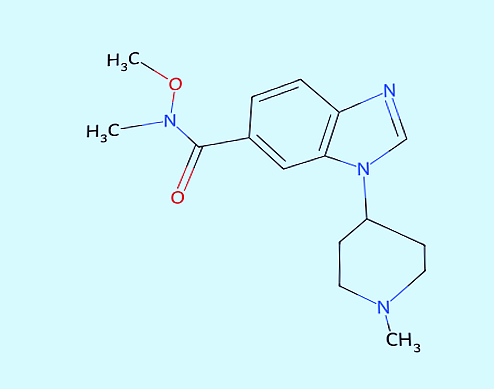 CON(C)C(=O)c1ccc2ncn(C3CCN(C)CC3)c2c1